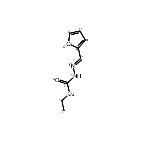 CCOC(=O)N/N=C/c1ccco1